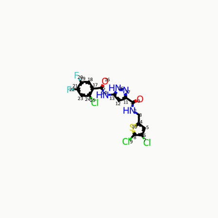 O=C(NCc1cc(Cl)c(Cl)s1)c1cc(NC(=O)c2cc(F)c(F)cc2Cl)[nH]n1